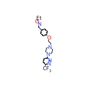 CCON=Cc1ccc(OCCN2CCN(c3ccc(C(F)(F)F)nn3)CC2)cc1